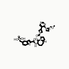 COC[C@@H]1CCN1c1ncncc1C1CN(C(=O)[C@@H]2CC[C@@H]3CCC[C@H](NC(=O)c4cc5cc(CP(=O)(O)O)ccc5s4)C(=O)N32)C1